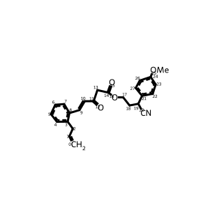 C=CCc1ccccc1C=CC(=O)CC(=O)OCCC(C#N)c1ccc(OC)cc1